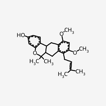 COc1cc(OC)c2c(c1CC=C(C)C)CC1C(C2)c2ccc(O)cc2OC1(C)C